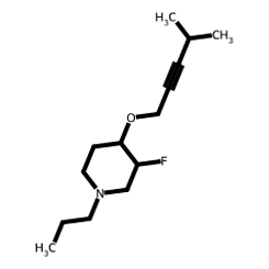 CCCN1CCC(OCC#CC(C)C)C(F)C1